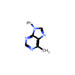 Cc1ncnc2c1ncn2C(C)C